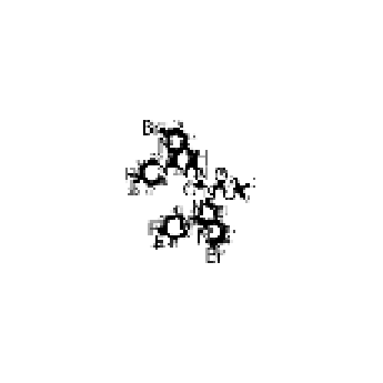 CC(C)(C)OC(=O)N(C(=O)Nc1cc2ccc(Br)nc2c(N2CCC(F)(F)CC2)n1)c1cc2ccc(Br)nc2c(N2CCC(F)(F)CC2)n1